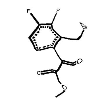 COC(=O)C(=O)c1ccc(F)c(F)c1CBr